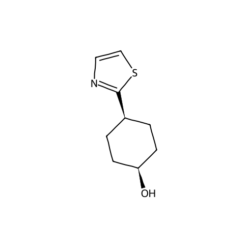 O[C@H]1CC[C@@H](c2nccs2)CC1